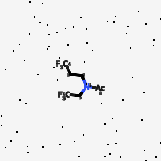 CC(=O)N(CCC(F)(F)F)CC(F)(F)F